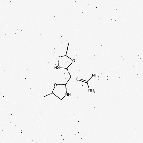 CC1CNC(CC2NCC(C)O2)O1.NC(N)=O